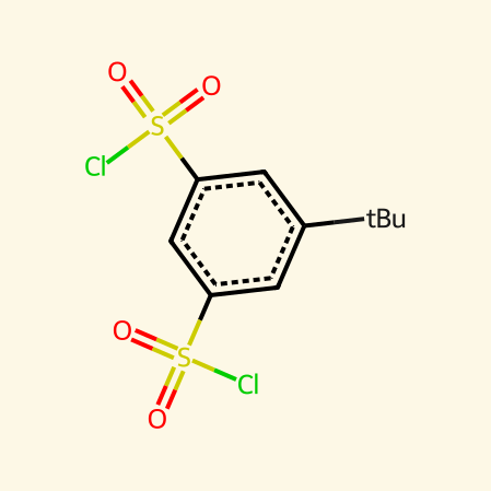 CC(C)(C)c1cc(S(=O)(=O)Cl)cc(S(=O)(=O)Cl)c1